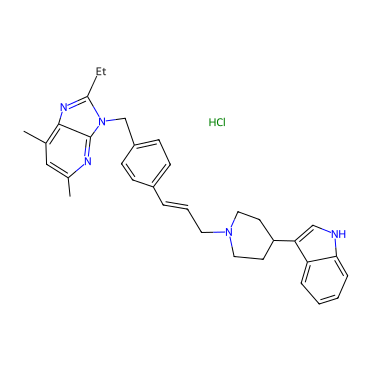 CCc1nc2c(C)cc(C)nc2n1Cc1ccc(/C=C/CN2CCC(c3c[nH]c4ccccc34)CC2)cc1.Cl